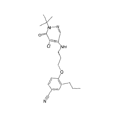 CCCc1cc(C#N)ccc1OCCCNc1cnn(C(C)(C)C)c(=O)c1Cl